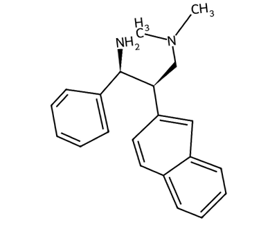 CN(C)C[C@@H](c1ccc2ccccc2c1)[C@H](N)c1ccccc1